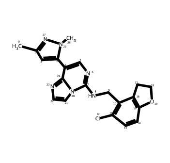 Cc1cc(-c2cnc(NCc3c(Cl)ccc4c3CCO4)n3ccnc23)n(C)n1